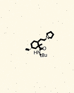 C=C[C@@H]1CCC(CCN2CCCC2)C(C)(C(=O)NC(C)(C)C)C1